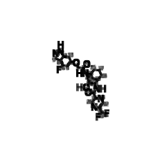 O=C(COc1cc(F)c2cn[nH]c2c1)NC12CCCC(C1)C(NC(=O)c1cnc(C(F)F)cn1)[C@@H](O)C2